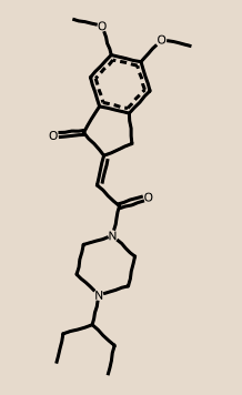 CCC(CC)N1CCN(C(=O)/C=C2\Cc3cc(OC)c(OC)cc3C2=O)CC1